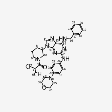 CC(Cl)C(=O)N1CCCC(n2cnc3c(NCc4ccccc4)nc(Nc4ccc(N5CCOCC5)cc4)nc32)C1